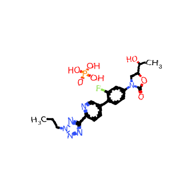 CCCn1nnc(-c2ccc(-c3ccc(N4CC(C(C)O)OC4=O)cc3F)cn2)n1.O=P(O)(O)O